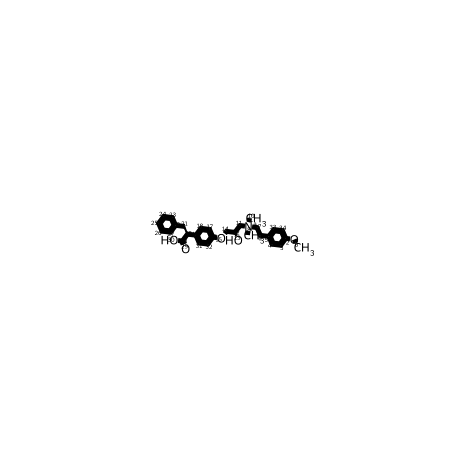 COc1ccc(CC[N+](C)(C)C[C@@H](O)COc2ccc([C@H](Cc3ccccc3)C(=O)O)cc2)cc1